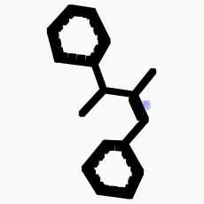 C/C(=C/c1ccccc1)C(C)c1ccccc1